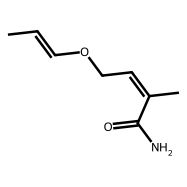 CC=COCC=C(C)C(N)=O